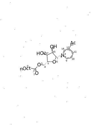 CCCCCCCCC(=O)OC[C@H]1O[C@@H]([n+]2cccc(C(C)=O)c2)[C@H](O)[C@@H]1O